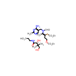 CC(C)(CO)[C@@H](O)C(=O)NCCC(=O)O.CCOC(=O)OCC/C(SC(=O)OCC)=C(\C)N(C=O)Cc1cnc(C)nc1N